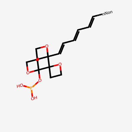 CCCCCCCCCC=CC=CC=CC1(C2(C3(OP(O)O)CCO3)CCO2)CCO1